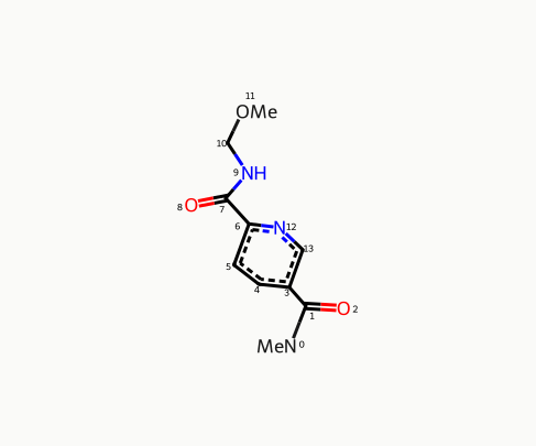 CNC(=O)c1ccc(C(=O)NCOC)nc1